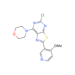 COc1ccncc1-c1nc2c(N3CCOCC3)nc(Cl)nc2s1